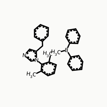 CB(c1ccccc1)c1ccccc1.Cc1cccc(C)c1-n1cncc1Cc1ccccc1